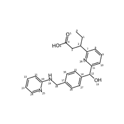 CCC(CC(=O)O)c1cccc(C(O)c2ccc(CNc3ccccn3)cc2)n1